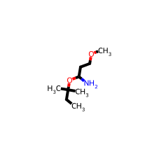 CCC(C)(C)OC(N)CCOC